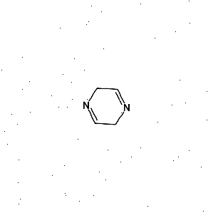 C1=NCC=NC1